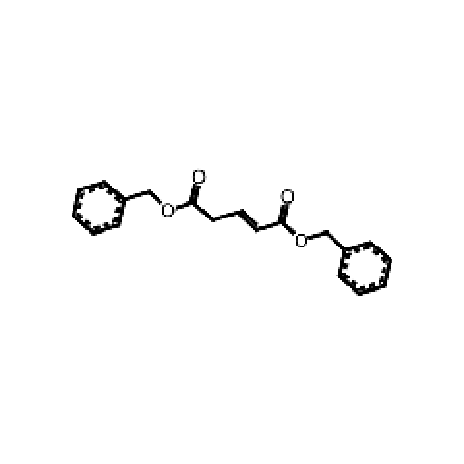 O=C(C=CCC(=O)OCc1ccccc1)OCc1ccccc1